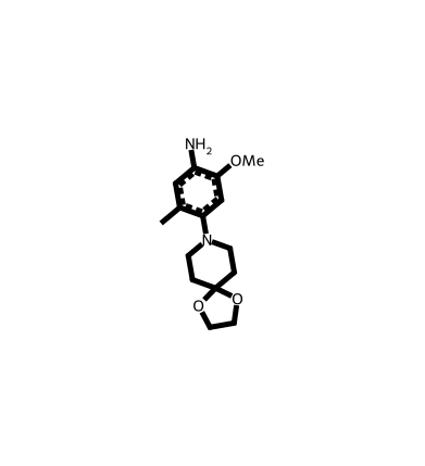 COc1cc(N2CCC3(CC2)OCCO3)c(C)cc1N